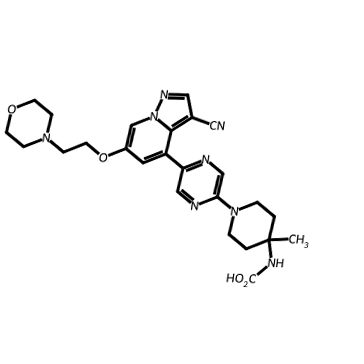 CC1(NC(=O)O)CCN(c2cnc(-c3cc(OCCN4CCOCC4)cn4ncc(C#N)c34)cn2)CC1